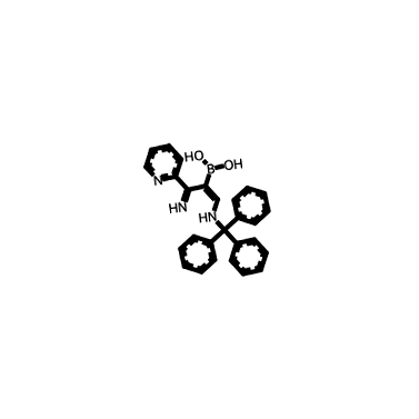 N=C(/C(=C\NC(c1ccccc1)(c1ccccc1)c1ccccc1)B(O)O)c1ccccn1